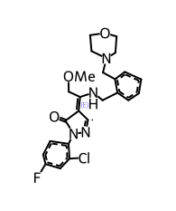 COC/C(NCc1ccccc1CN1CCOCC1)=C1/[C]=NN(c2ccc(F)cc2Cl)C1=O